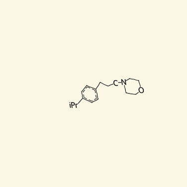 CC(C)c1ccc(CCCN2CCOCC2)cc1